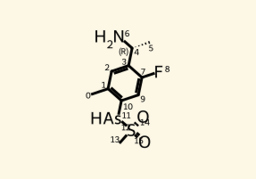 Cc1cc([C@@H](C)N)c(F)cc1[AsH]S(C)(=O)=O